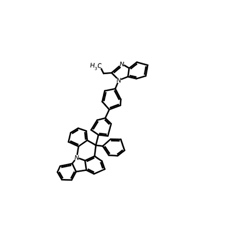 CCc1nc2ccccc2n1-c1ccc(-c2ccc(C3(c4ccccc4)c4ccccc4-n4c5ccccc5c5cccc3c54)cc2)cc1